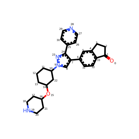 O=C1CCc2cc(-c3cn(C4CCCC(OC5CCNCC5)C4)nc3-c3ccncc3)ccc21